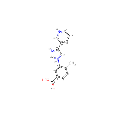 Cc1ccc(C(=O)O)cc1-n1cnc(-c2cccnc2)c1